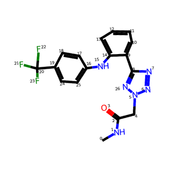 CNC(=O)Cn1nnc(-c2ccccc2Nc2ccc(C(F)(F)F)cc2)n1